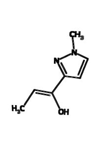 CC=C(O)c1ccn(C)n1